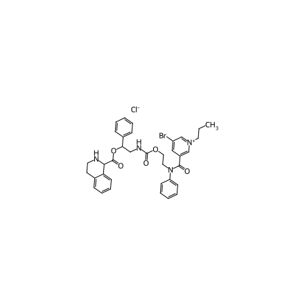 CCC[n+]1cc(Br)cc(C(=O)N(CCOC(=O)NCC(OC(=O)C2NCCc3ccccc32)c2ccccc2)c2ccccc2)c1.[Cl-]